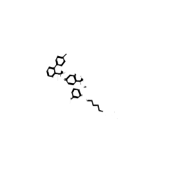 Cc1ccc(-c2ccccc2C(=O)Nc2ccc(C(=O)N(C)c3ccc(Cl)cc3OCCCCCC(=O)O)c(Cl)c2)cc1